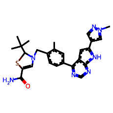 Cc1cc(-c2ncnc3[nH]c(-c4cnn(C)c4)cc23)ccc1CN1C=C(C(N)=O)SC1C(C)(C)C